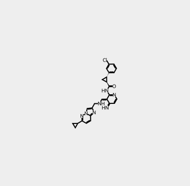 N=C1C=CN=C(NC(=O)[C@H]2C[C@@H]2c2cccc(Cl)c2)/C1=C/NCc1cn2nc(C3CC3)ccc2n1